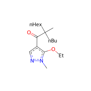 CCCCCCC(C)(CCCC)C(=O)c1cnn(C)c1OCC